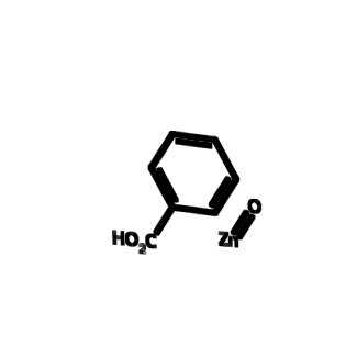 O=C(O)c1ccccc1.[O]=[Zn]